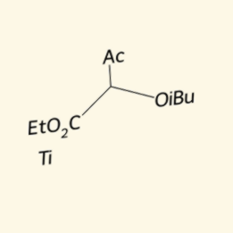 CCOC(=O)C(OCC(C)C)C(C)=O.[Ti]